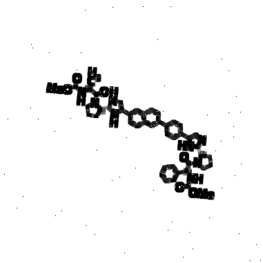 COC(=O)N[C@@H](C)C(=O)N1CCC[C@H]1C1NC=C(c2ccc3cc(-c4ccc(-c5cnc([C@@H]6CCCN6C(=O)[C@H](NC(=O)OC)c6ccccc6)[nH]5)cc4)ccc3c2)N1